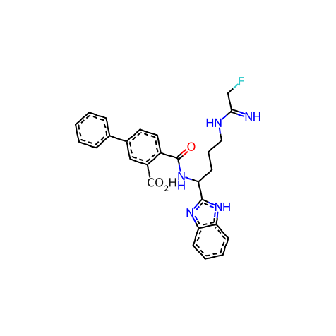 N=C(CF)NCCCC(NC(=O)c1ccc(-c2ccccc2)cc1C(=O)O)c1nc2ccccc2[nH]1